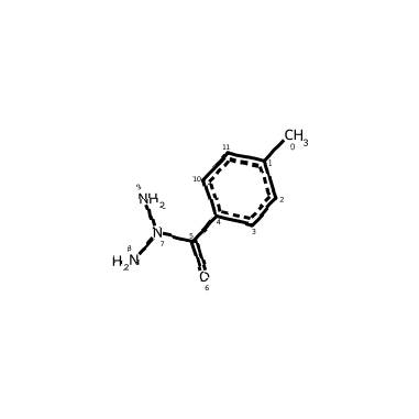 Cc1ccc(C(=O)N(N)N)cc1